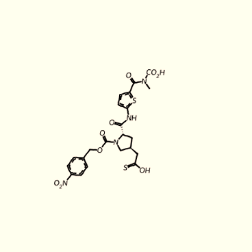 CN(C(=O)O)C(=O)c1ccc(NC(=O)[C@@H]2C[C@@H](CC(O)=S)CN2C(=O)OCc2ccc([N+](=O)[O-])cc2)s1